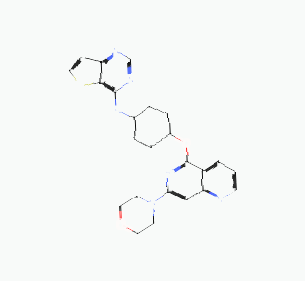 c1cnc2cc(N3CCOCC3)nc(OC3CCC(Nc4ncnc5ccsc45)CC3)c2c1